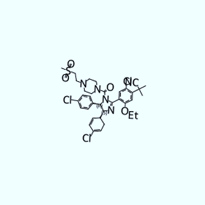 CCOc1cc(C(C)(C)C#N)c(Cl)cc1C1=N[C@@H](C2C=CC(Cl)=CC2)[C@@H](c2ccc(Cl)cc2)N1C(=O)N1CCN(CCS(C)(=O)=O)CC1